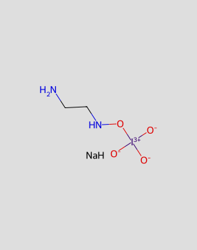 NCCNO[I+3]([O-])([O-])[O-].[NaH]